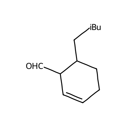 CCC(C)CC1CCC=CC1C=O